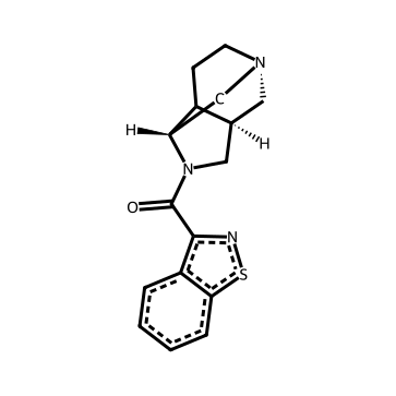 O=C(c1nsc2ccccc12)N1C[C@@H]2C[N@@]3CCC2[C@@H]1C3